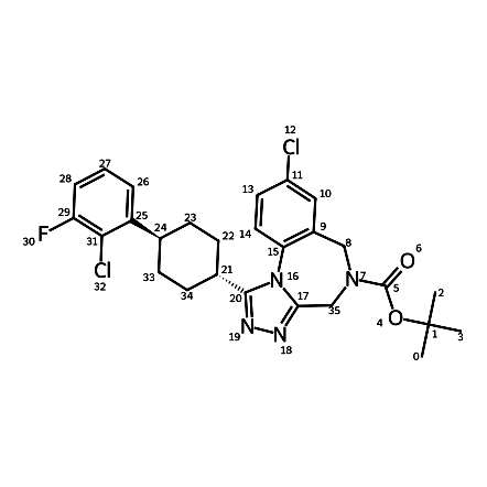 CC(C)(C)OC(=O)N1Cc2cc(Cl)ccc2-n2c(nnc2[C@H]2CC[C@H](c3cccc(F)c3Cl)CC2)C1